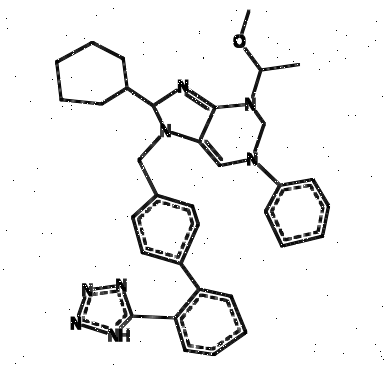 COC(C)N1CN(c2ccccc2)C=C2C1=NC(C1CCCCC1)N2Cc1ccc(-c2ccccc2-c2nnn[nH]2)cc1